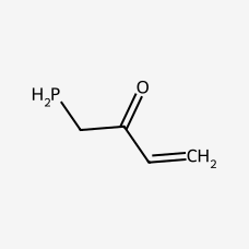 C=CC(=O)CP